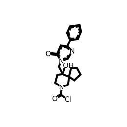 O=C(Cl)N1CCC(O)(Cn2cnc(-c3ccccc3)cc2=O)C2(CCCC2)C1